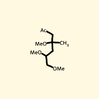 COCC(CC(C)(CC(C)=O)OC)OC